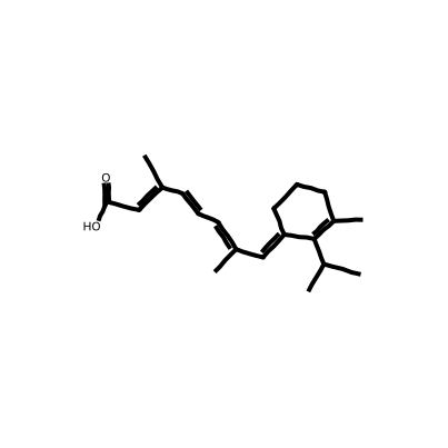 CC(=CC=CC(C)=CC(=O)O)C=C1CCCC(C)=C1C(C)C